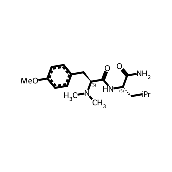 COc1ccc(C[C@@H](C(=O)N[C@@H](CC(C)C)C(N)=O)N(C)C)cc1